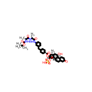 C[C@H](NC(=O)OC(C)(C)C)C(=O)N[C@@H](C)C(=O)Nc1cccc(Cc2ccc([C@@H]3O[C@@H]4C[C@H]5[C@@H]6CCC7=CC(=O)C=C[C@]7(C)[C@H]6[C@@H](O)C[C@]5(C)[C@]4(C(=O)COS(=O)(=O)O)O3)cc2)c1